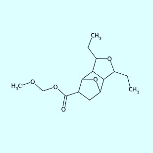 CCC1OC(CC)C2C3OC(CC3C(=O)OCOC)C12